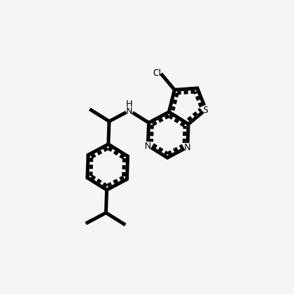 CC(C)c1ccc(C(C)Nc2ncnc3scc(Cl)c23)cc1